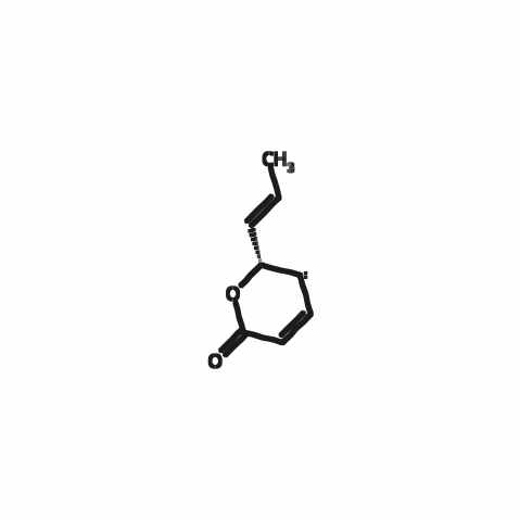 C/C=C/[C@@H]1[C]C=CC(=O)O1